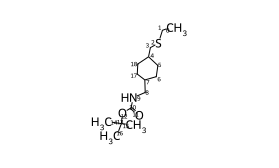 CCSCC1CCC(CNC(=O)OC(C)(C)C)CC1